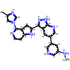 Cc1cn(-c2nccc3[nH]c(-c4n[nH]c5ncc(-c6cncc(NC(C)C)c6)cc45)cc23)cn1